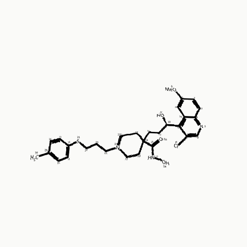 COc1ccc2ncc(Cl)c([C@H](O)CCC3(C(=O)NO)CCN(CCCSc4ccc(C)cc4)CC3)c2c1